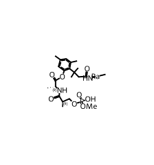 COP(=O)(O)OC[C@@H](C)C(=O)N[C@H](C)C(=O)Oc1cc(C)cc(C)c1C(C)(C)CC(=O)[NH][Ra][CH3]